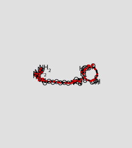 CO[C@H]1C[C@@H]2CCC[C@@](O)(O2)C(=O)C(=O)N2CCCC[C@H]2CO[C@H]([C@H](C)C[C@@H]2CC[C@@H](OC(=O)N3CCN(CCOCCOCCOCCOCCOCCOCCC(=O)N4CCc5cc(Cn6nc(-c7ccc8oc(N)nc8c7)c7c(N)ncnc76)ccc5C4)CC3)[C@H](OC)C2)C[C@@H](O)[C@H](C)/C=C(\C)[C@@H](O)[C@@H](O)C(=O)[C@H](C)C[C@H](C)/C=C/C=C/C=C/1C